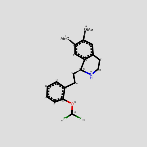 COc1cc2c(cc1OC)[C@H](CCc1ccccc1OC(F)F)NCC2